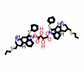 CCCSCC1C[C@H]2c3cccc4c3c(c(Sc3ccccc3)n4OC(=O)C(O)C(O)C(=O)On3c(Sc4ccccc4)c4c5c(cccc53)[C@@H]3CC(CSCCC)CN(C)[C@H]3C4)C[C@@H]2N(C)C1